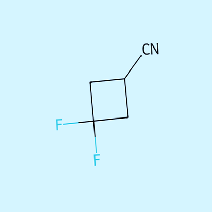 N#CC1CC(F)(F)C1